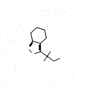 CCC(C)(C)c1onc2c1CCCC2